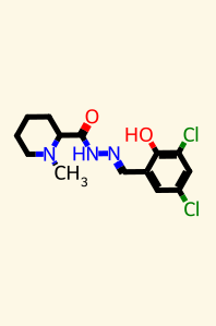 CN1CCCCC1C(=O)NN=Cc1cc(Cl)cc(Cl)c1O